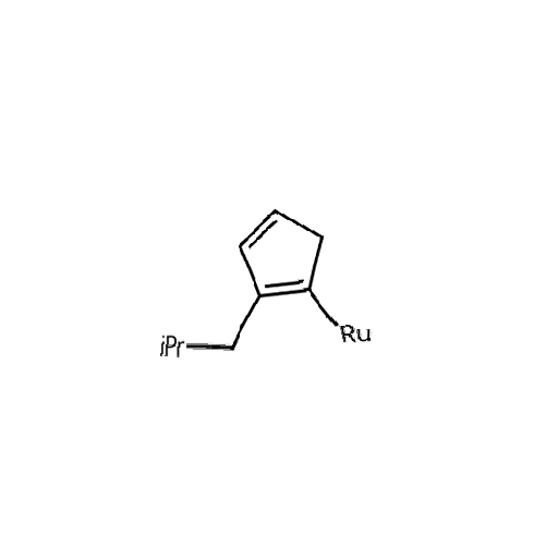 CC(C)CC1=[C]([Ru])CC=C1